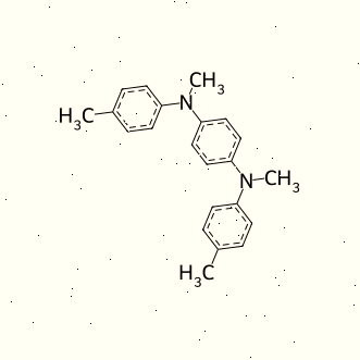 Cc1ccc(N(C)c2ccc(N(C)c3ccc(C)cc3)cc2)cc1